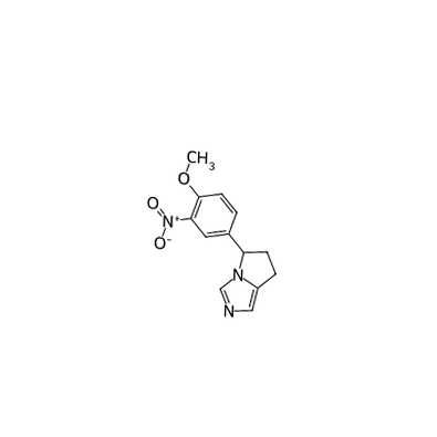 COc1ccc(C2CCc3cncn32)cc1[N+](=O)[O-]